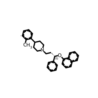 Cc1[c]cccc1C1CCN(CC[C@H](Oc2cccc3ccccc23)c2ccccc2)CC1